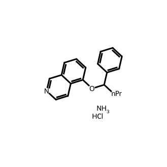 CCCC(Oc1cccc2cnccc12)c1ccccc1.Cl.N